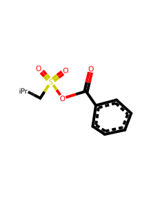 CC(C)CS(=O)(=O)OC(=O)c1ccccc1